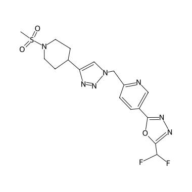 CS(=O)(=O)N1CCC(c2cn(Cc3ccc(-c4nnc(C(F)F)o4)cn3)nn2)CC1